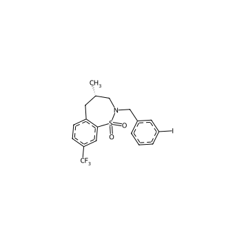 C[C@H]1Cc2ccc(C(F)(F)F)cc2S(=O)(=O)N(Cc2cccc(I)c2)C1